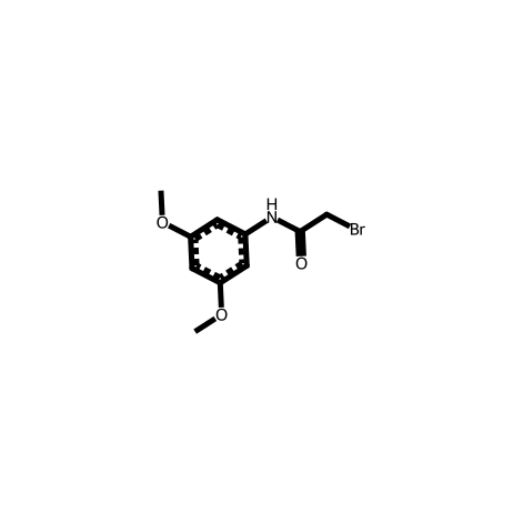 COc1cc(NC(=O)CBr)cc(OC)c1